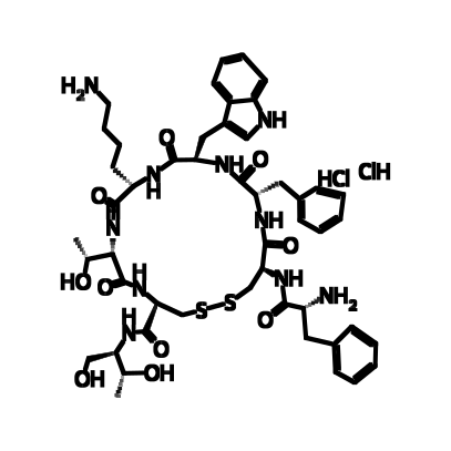 C[C@@H](O)[C@@H]1NC(=O)[C@H](CCCCN)NC(=O)[C@@H](Cc2c[nH]c3ccccc23)NC(=O)[C@H](Cc2ccccc2)NC(=O)[C@@H](NC(=O)[C@H](N)Cc2ccccc2)CSSC[C@@H](C(=O)N[C@H](CO)[C@@H](C)O)NC1=O.Cl.Cl